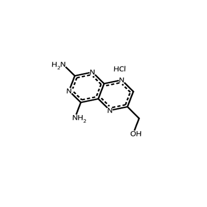 Cl.Nc1nc(N)c2nc(CO)cnc2n1